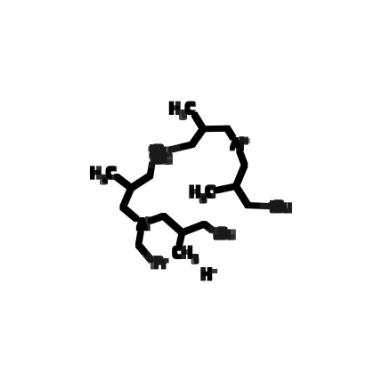 CC(C)[CH2][Al]([CH2]C(C)CC(C)(C)C)[CH2]C(C)CC(C)(C)C.CC([CH2][Al+][CH2]C(C)CC(C)(C)C)CC(C)(C)C.[H-]